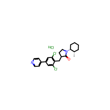 C[C@H]1CCCC[C@H]1N1CCC(Cc2c(Cl)cc(-c3ccncc3)cc2Cl)C1=O.Cl